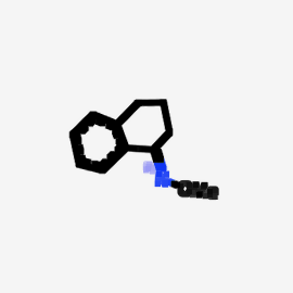 CO/N=C1\CCCc2ccccc21